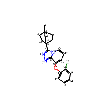 CC12CCC(c3nnc4c(Oc5ccccc5Cl)cccn34)(CC1)CC2